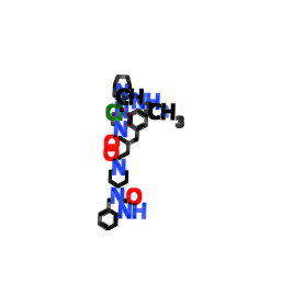 Cc1cc(C[C@@H](CC(=O)N2CCC(N3Cc4ccccc4NC3=O)CC2)C(=O)N2CCN(C3CC4CCC(C3)N4C)CC2)cc(Cl)c1N